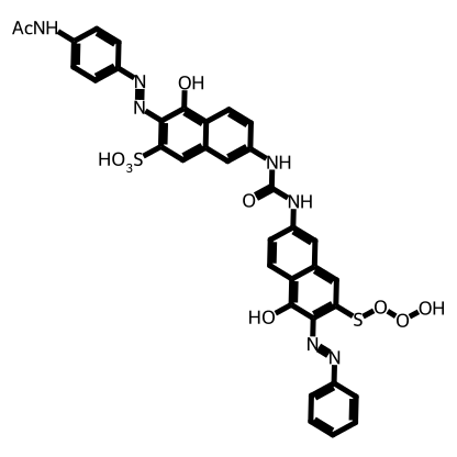 CC(=O)Nc1ccc(/N=N/c2c(S(=O)(=O)O)cc3cc(NC(=O)Nc4ccc5c(O)c(/N=N/c6ccccc6)c(SOOO)cc5c4)ccc3c2O)cc1